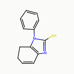 Sc1nc2c(n1-c1ccccc1)CCC=C2